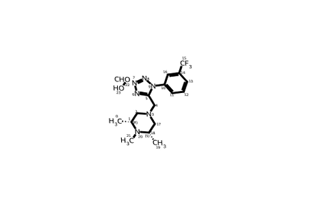 C[C@@H]1CN(Cc2nnnn2-c2cccc(C(F)(F)F)c2)C[C@H](C)N1C.O=CO